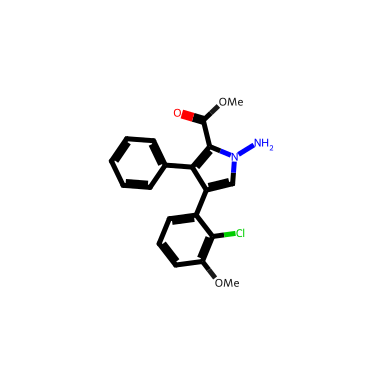 COC(=O)c1c(-c2ccccc2)c(-c2cccc(OC)c2Cl)cn1N